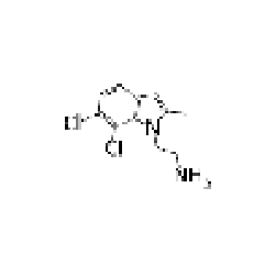 Cc1cc2ccc(Cl)c(Cl)c2n1CCN